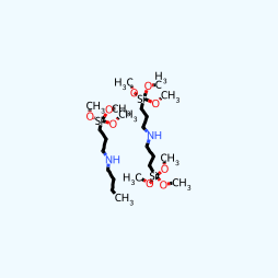 CCCCNCCC[Si](OC)(OC)OC.CO[Si](CCCNCCC[Si](OC)(OC)OC)(OC)OC